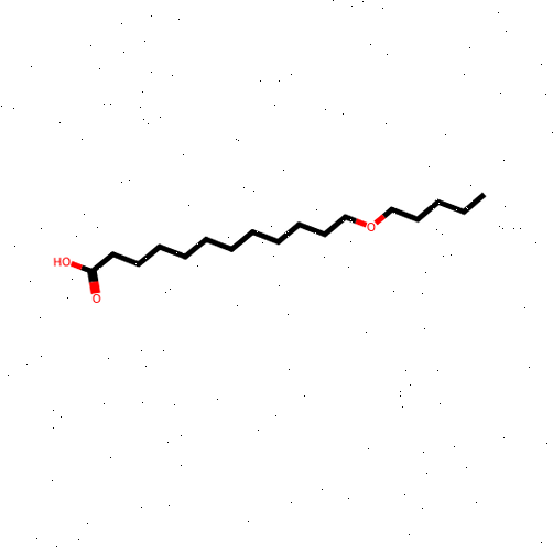 CCCCCOCCCCCCCCCCCC(=O)O